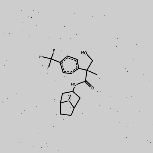 CN1C2CCC1CC(NC(=O)C(C)(CO)c1ccc(C(F)(F)F)cc1)C2